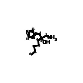 CCCCCC(O)(CN)Cn1cncn1